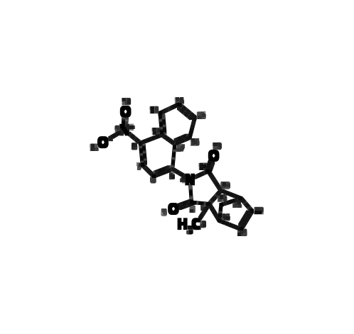 CC12C(=O)N(c3ccc([N+](=O)[O-])c4ccccc34)C(=O)C1C1C=CC2C1